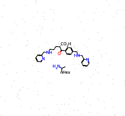 CCCCCCC(C)N.O=C(O)[C@@H](CCCNCc1ccccn1)C(=O)c1ccc(CNCc2ccccn2)cc1